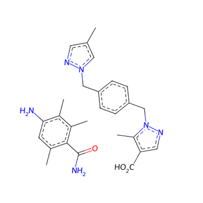 Cc1cc(N)c(C)c(C)c1C(N)=O.Cc1cnn(Cc2ccc(Cn3ncc(C(=O)O)c3C)cc2)c1